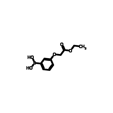 CCOC(=O)COc1cccc(B(O)O)c1